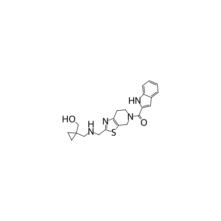 O=C(c1cc2ccccc2[nH]1)N1CCc2nc(CNCC3(CO)CC3)sc2C1